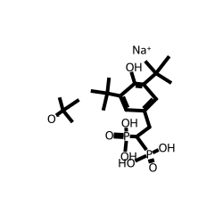 CC(C)(C)[O-].CC(C)(C)c1cc(CC(P(=O)(O)O)P(=O)(O)O)cc(C(C)(C)C)c1O.[Na+]